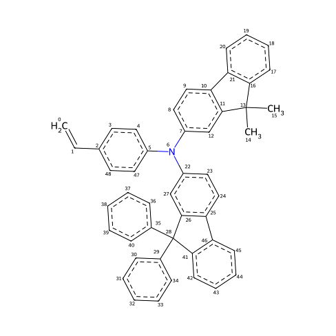 C=Cc1ccc(N(c2ccc3c(c2)C(C)(C)c2ccccc2-3)c2ccc3c(c2)C(c2ccccc2)(c2ccccc2)c2ccccc2-3)cc1